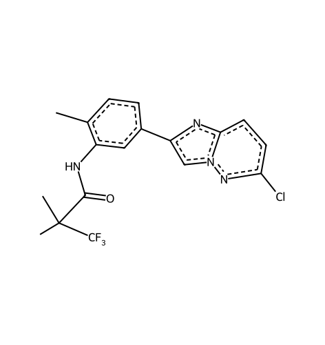 Cc1ccc(-c2cn3nc(Cl)ccc3n2)cc1NC(=O)C(C)(C)C(F)(F)F